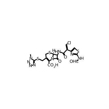 Cn1nnnc1SCC1=C(C(=O)O)N2C(=O)C(NC(=O)C(=CCl)c3csc(NC=O)n3)[C@@H]2SC1